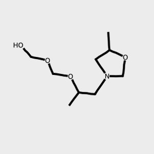 CC(CN1COC(C)C1)OCOCO